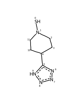 SN1CCC(c2nnn[nH]2)CC1